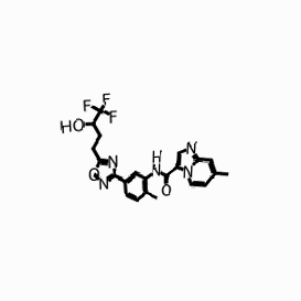 Cc1ccn2c(C(=O)Nc3cc(-c4noc(CCC(O)C(F)(F)F)n4)ccc3C)cnc2c1